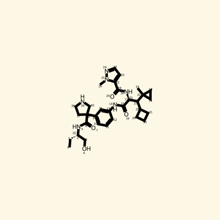 CC[C@@H](CO)NC(=O)C1(c2cccc(NC(=O)[C@@H](NC(=O)c3ccnn3C)C(C3CCC3)C3(C)CC3)c2)CCNC1